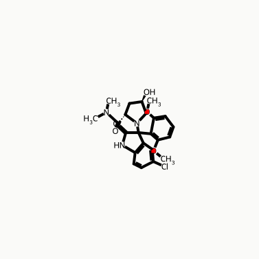 COc1cccc(OC)c1C1(N2C[C@H](O)C[C@H]2C(=O)N(C)C)C(=O)Nc2ccc(Cl)cc21